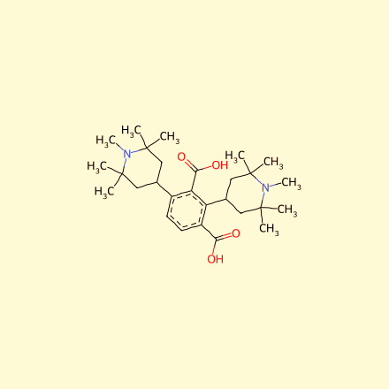 CN1C(C)(C)CC(c2ccc(C(=O)O)c(C3CC(C)(C)N(C)C(C)(C)C3)c2C(=O)O)CC1(C)C